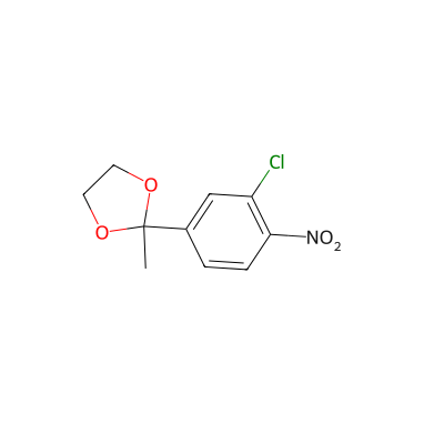 CC1(c2ccc([N+](=O)[O-])c(Cl)c2)OCCO1